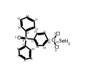 ClOCl.O=P(c1ccccc1)(c1ccccc1)c1ccccc1.[SeH2]